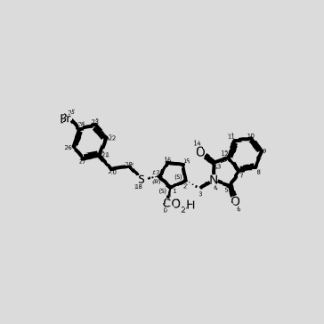 O=C(O)[C@@H]1[C@@H](CN2C(=O)c3ccccc3C2=O)CC[C@H]1SCCc1ccc(Br)cc1